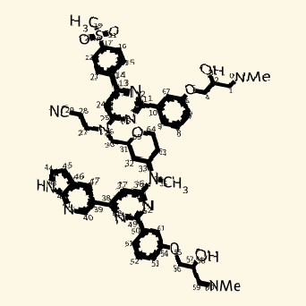 CNCC(O)COc1cccc(-c2nc(-c3ccc(S(C)(=O)=O)cc3)cc(N(CCC#N)CC3CC(N(C)c4cc(-c5cnc6[nH]ccc6c5)nc(-c5cccc(OCC(O)CNC)c5)n4)CCO3)n2)c1